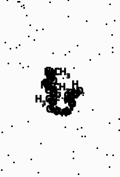 CNc1cc(=O)n(-c2ccnc3c2cc([C@H](C)N2CC=C(c4c(C)cc(C(=O)N5CCC(CN6CCN(Cc7ccc8c(c7)C7(CC7)C(=O)N8[C@@H]7CCC(=O)NC7=O)CC6)CC5)cc4F)CC2)n3C)cc1F